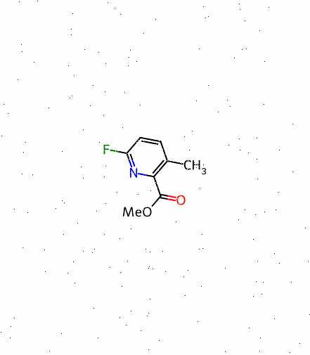 COC(=O)c1nc(F)ccc1C